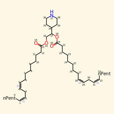 CCCCC/C=C\C/C=C\CCCCCCCC(=O)OCC(OC(=O)CCCCCCC/C=C\C/C=C\CCCCC)C1CCNCC1